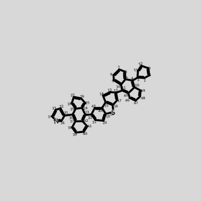 c1ccc(-c2c3ccccc3c(-c3ccc4c(c3)sc3ccc(-c5c6ccccc6c(-c6cccnc6)c6ccccc56)cc34)c3ccccc23)cc1